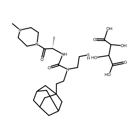 C[C@H](NC(=O)N(CCS)CCC12CC3CC(CC(C3)C1)C2)C(=O)N1CCN(C)CC1.O=C(O)C(O)C(O)C(=O)O